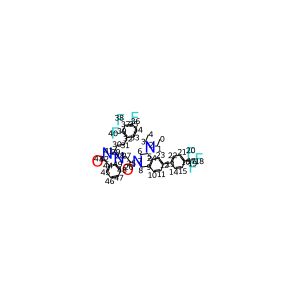 CCN(CC)CCN(Cc1ccc(-c2ccc(C(F)(F)F)cc2)cc1)C(=O)Cn1c(CCc2ccc(F)c(F)c2F)nc(=O)c2ccccc21